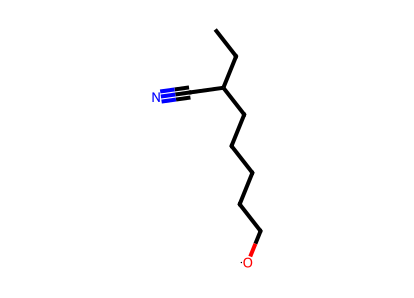 CCC(C#N)CCCCC[O]